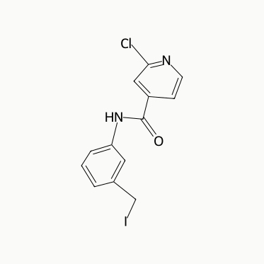 O=C(Nc1cccc(CI)c1)c1ccnc(Cl)c1